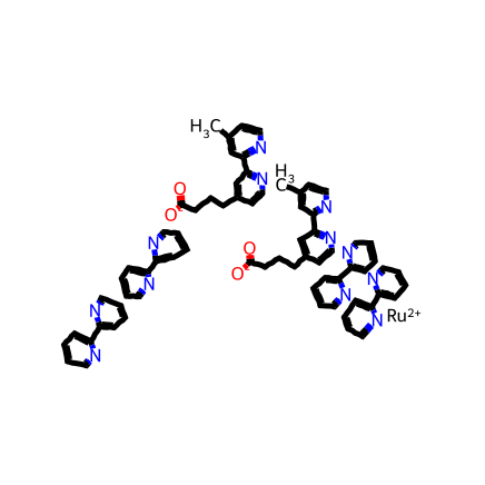 Cc1ccnc(-c2cc(CCCC(=O)[O-])ccn2)c1.Cc1ccnc(-c2cc(CCCC(=O)[O-])ccn2)c1.[Ru+2].c1ccc(-c2ccccn2)nc1.c1ccc(-c2ccccn2)nc1.c1ccc(-c2ccccn2)nc1.c1ccc(-c2ccccn2)nc1